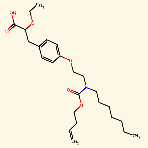 C=CCCOC(=O)N(CCCCCCC)CCOc1ccc(CC(OCC)C(=O)O)cc1